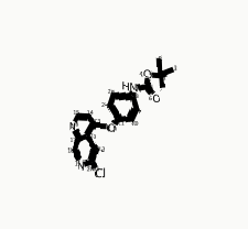 CC(C)(C)OC(=O)Nc1ccc(Oc2ccnc3cnc(Cl)cc23)cc1